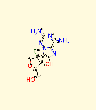 Nc1nc(N)c2ncc(C3(F)CO[C@H](CO)[C@H]3O)n2n1